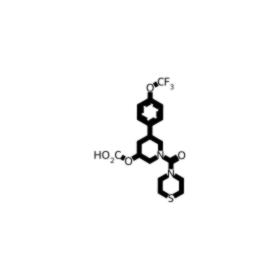 O=C(O)OC1CC(c2ccc(OC(F)(F)F)cc2)CN(C(=O)N2CCSCC2)C1